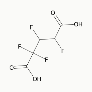 O=C(O)C(F)C(F)C(F)(F)C(=O)O